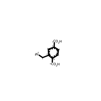 CC(C)Cc1cc(C(=O)O)ccc1C(=O)O